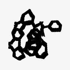 c1ccc(-c2nc(-c3ccccc3)nc(-c3cccc4sc5cc6sc7cccc(-n8c9ccccc9c9ccccc98)c7c6cc5c34)n2)cc1